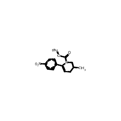 CC1CC=C(c2ccc([N+](=O)[O-])cc2)N(C(=O)OC(C)(C)C)C1